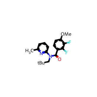 COc1ccc(C(=O)N(CC(C)(C)C)c2cccc(C)n2)c(F)c1F